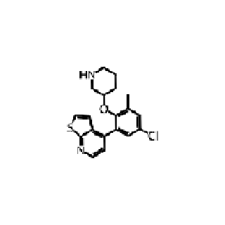 Cc1cc(Cl)cc(-c2ccnc3sccc23)c1OC1CCCNC1